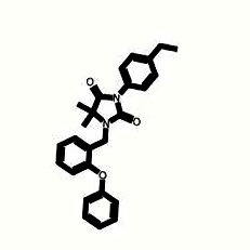 CCc1ccc(N2C(=O)N(Cc3ccccc3Oc3ccccc3)C(C)(C)C2=O)cc1